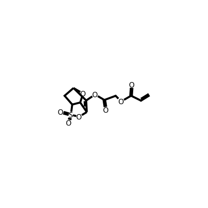 C=CC(=O)OCC(=O)OC1=C2OS(=O)(=O)C3CC1OC23